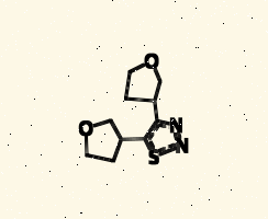 C1CC(c2nnsc2C2CCOC2)CO1